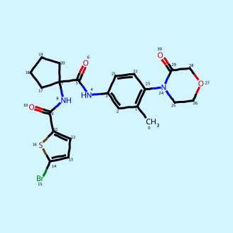 Cc1cc(NC(=O)C2(NC(=O)c3ccc(Br)s3)CCCC2)ccc1N1CCOCC1=O